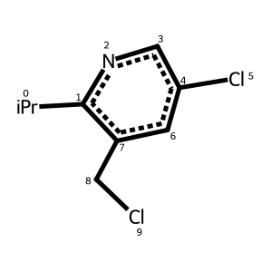 CC(C)c1ncc(Cl)cc1CCl